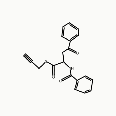 C#CCSC(=O)C(CC(=O)c1ccccc1)NC(=O)c1ccccc1